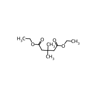 CCOC(=O)CC(C)(C)CC(=O)OCC